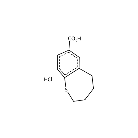 Cl.O=C(O)c1ccc2c(c1)CCCCS2